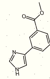 COC(=O)c1cccc(-c2c[nH]cn2)c1